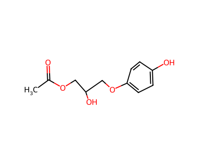 CC(=O)OCC(O)COc1ccc(O)cc1